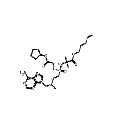 CCCCCOC(=O)C(C)(C)NP(=O)(COC(C)Cn1cnc2c(N)ncnc21)OCC(=O)OC1CCCC1